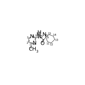 Cc1ccnc(NC(=O)C2(N)CCCCC2)n1